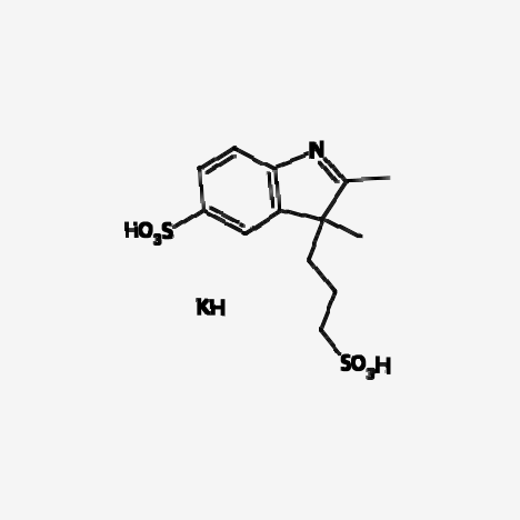 CC1=Nc2ccc(S(=O)(=O)O)cc2C1(C)CCCS(=O)(=O)O.[KH]